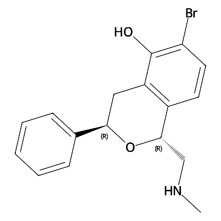 CNC[C@@H]1O[C@@H](c2ccccc2)Cc2c1ccc(Br)c2O